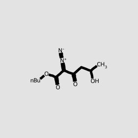 CCCCOC(=O)C(=[N+]=[N-])C(=O)CC(C)O